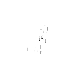 COc1cc(N2CC[C@@H](Nc3nc4c(-c5ccc(F)c(F)c5F)cccn4n3)[C@@H](F)C2)ccn1